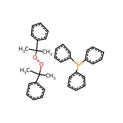 CC(C)(OOC(C)(C)c1ccccc1)c1ccccc1.c1ccc(P(c2ccccc2)c2ccccc2)cc1